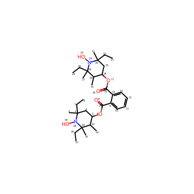 CCC1(C)CC(OC(=O)c2ccccc2C(=O)OC2CC(C)(CC)N(O)C(C)(CC)C2C)C(C)C(C)(CC)N1O